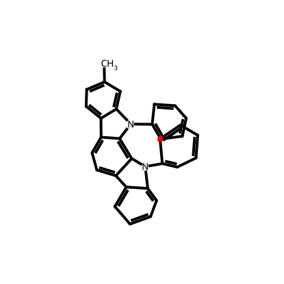 Cc1ccc2c3ccc4c5ccccc5n(-c5ccccc5)c4c3n(-c3ccccc3)c2c1